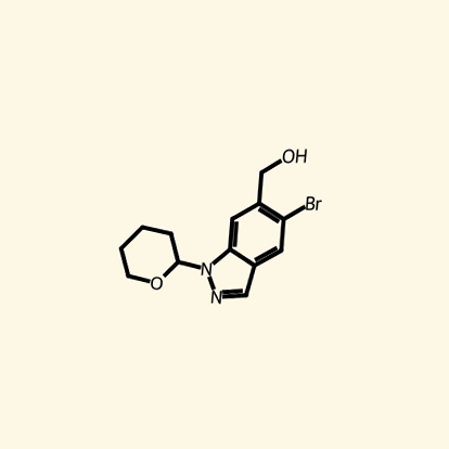 OCc1cc2c(cnn2C2CCCCO2)cc1Br